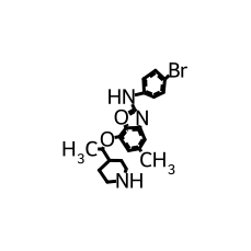 Cc1cc(OC(C)C2CCNCC2)c2oc(Nc3ccc(Br)cc3)nc2c1